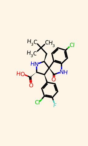 CC(C)(C)C[C@@H]1N[C@@H](C(=O)O)[C@H](c2ccc(F)c(Cl)c2)[C@]12C(=O)Nc1cc(Cl)ccc12